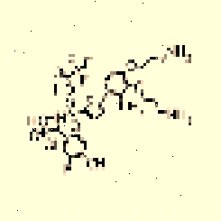 Cc1c(-c2ccc(S(=O)(=O)NC(c3ccc(C#N)c(F)c3)P(=O)(O)O)s2)ccc(OCCCN)c1OCCCN.O=C(O)C(F)(F)F